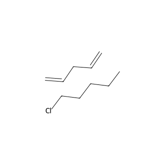 C=CCC=C.CCCCCCl